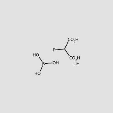 O=C(O)C(F)C(=O)O.OB(O)O.[LiH]